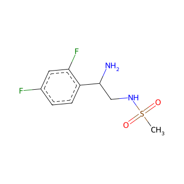 CS(=O)(=O)NCC(N)c1ccc(F)cc1F